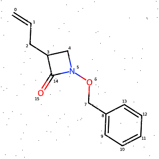 C=CCC1CN(OCc2ccccc2)C1=O